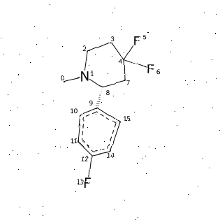 CN1CCC(F)(F)C[C@@H]1c1ccc(F)cc1